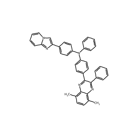 Cc1ccc(C)c2nc(-c3ccc(N(c4ccccc4)c4ccc(-c5cn6ccccc6n5)cc4)cc3)c(-c3ccccc3)nc12